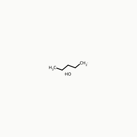 [CH2]CCCC.[OH]